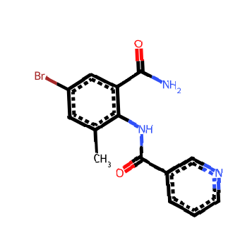 Cc1cc(Br)cc(C(N)=O)c1NC(=O)c1cccnc1